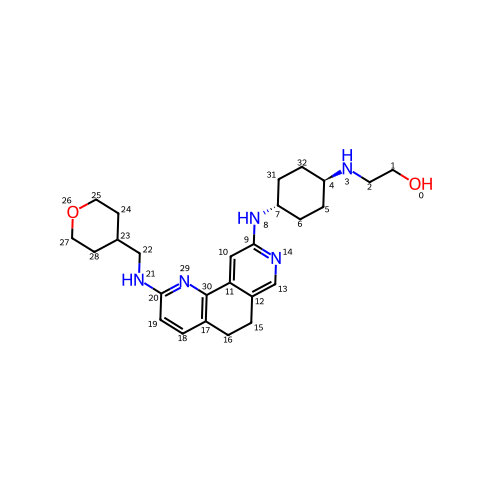 OCCN[C@H]1CC[C@H](Nc2cc3c(cn2)CCc2ccc(NCC4CCOCC4)nc2-3)CC1